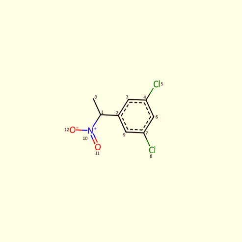 CC(c1cc(Cl)cc(Cl)c1)[N+](=O)[O-]